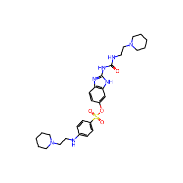 O=C(NCCN1CCCCC1)Nc1nc2ccc(OS(=O)(=O)c3ccc(NCCN4CCCCC4)cc3)cc2[nH]1